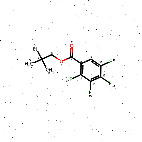 CCC(C)(C)COC(=O)c1cc(F)c(F)c(F)c1F